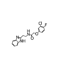 O=C(COc1ccc(F)c(Cl)c1)NCCc1nc2ccccc2[nH]1